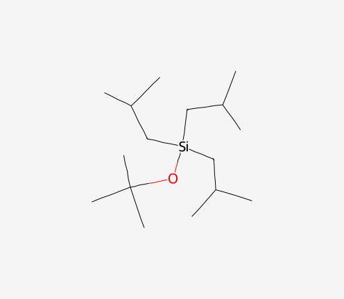 CC(C)C[Si](CC(C)C)(CC(C)C)OC(C)(C)C